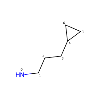 [NH]CCCC1CC1